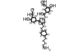 NCCCCc1ccc(CCCCN(C[C@H](O)c2ccc(O)c(NC=O)c2)C[C@H](O)c2ccc(O)c(NC=O)c2)cc1